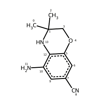 CC1(C)COc2cc(C#N)cc(N)c2N1